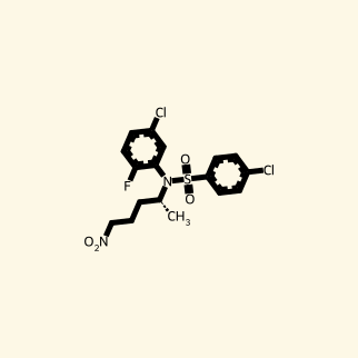 C[C@H](CCC[N+](=O)[O-])N(c1cc(Cl)ccc1F)S(=O)(=O)c1ccc(Cl)cc1